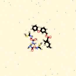 CC(C)=CC1C(C(=O)OCc2cccc(Oc3ccccc3)c2)C1(C)C.CS/C(C)=N\OC(=O)N(C)SN(C)C(=O)O/N=C(/C)SC